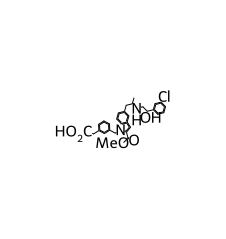 COC(=O)c1cc2cc(CC(C)NCC(O)c3cccc(Cl)c3)ccc2n1Cc1cccc(CC(=O)O)c1